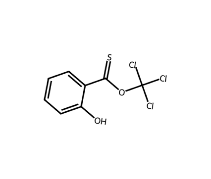 Oc1ccccc1C(=S)OC(Cl)(Cl)Cl